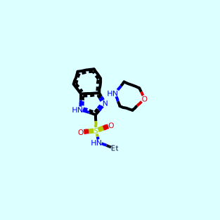 C1COCCN1.CCNS(=O)(=O)c1nc2ccccc2[nH]1